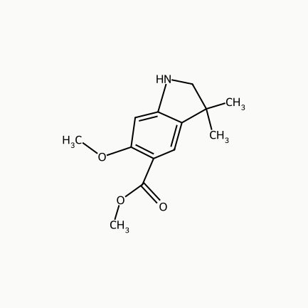 COC(=O)c1cc2c(cc1OC)NCC2(C)C